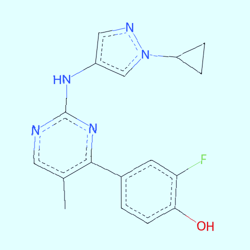 Cc1cnc(Nc2cnn(C3CC3)c2)nc1-c1ccc(O)c(F)c1